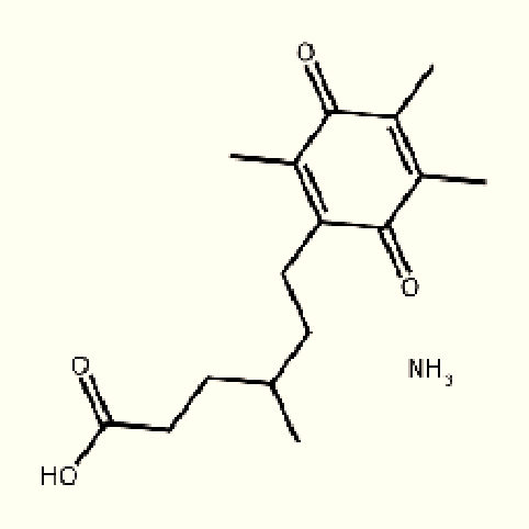 CC1=C(C)C(=O)C(CCC(C)CCC(=O)O)=C(C)C1=O.N